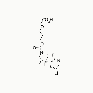 C[C@H]1CN(C(=O)OCCCOCC(=O)O)CC[C@]1(F)c1cc(Cl)cnc1F